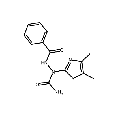 Cc1nc(N(NC(=O)c2ccccc2)C(N)=O)sc1C